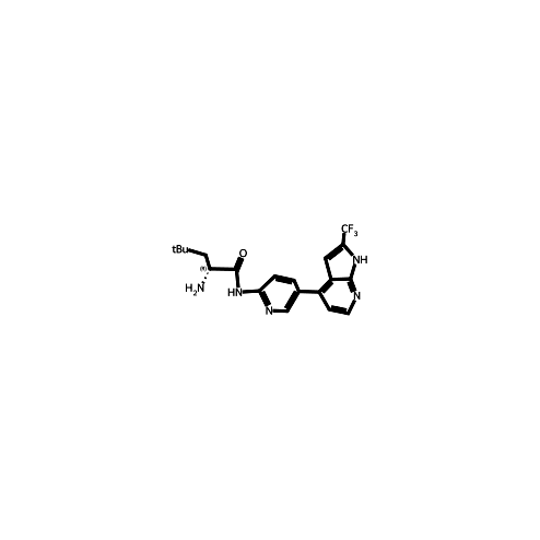 CC(C)(C)C[C@@H](N)C(=O)Nc1ccc(-c2ccnc3[nH]c(C(F)(F)F)cc23)cn1